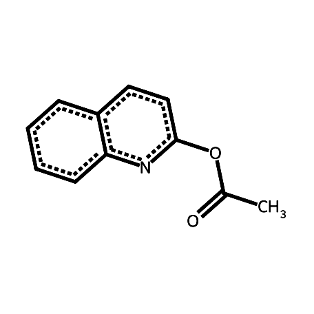 CC(=O)Oc1ccc2ccccc2n1